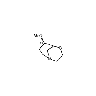 CO[C@@H]1CCN2CCOC1C2